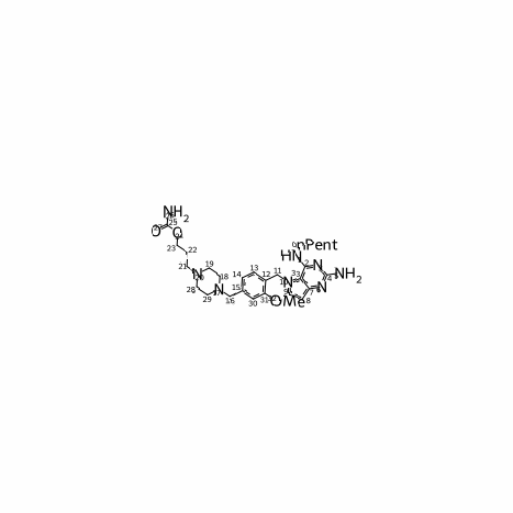 CCCCCNc1nc(N)nc2ccn(Cc3ccc(CN4CCN(CCCOC(N)=O)CC4)cc3OC)c12